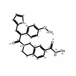 COc1ccc(C(=Cc2cccs2)C(=O)N2CCc3ccc(C(=O)NO)cc3C2)cc1